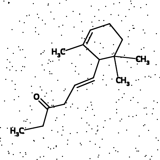 CCC(=O)C/C=C/C1C(C)=CCCC1(C)C